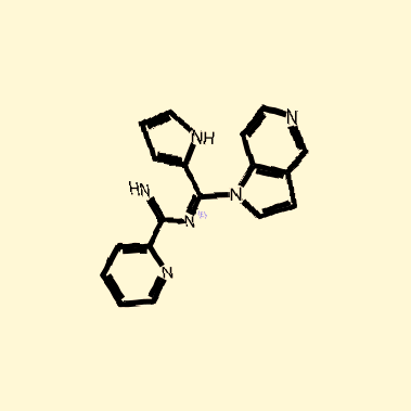 N=C(/N=C(\c1ccc[nH]1)n1ccc2cnccc21)c1ccccn1